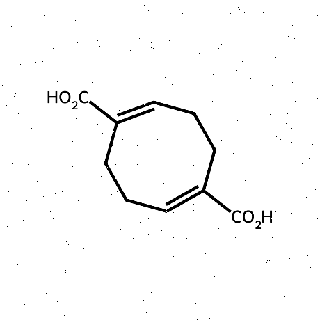 O=C(O)/C1=C/CC/C(C(=O)O)=C\CC1